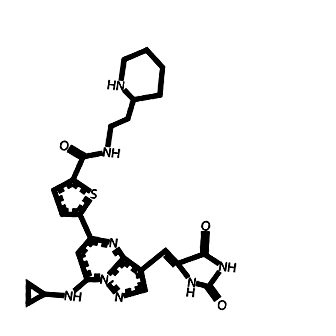 O=C1NC(=O)/C(=C/c2cnn3c(NC4CC4)cc(-c4ccc(C(=O)NCCC5CCCCN5)s4)nc23)N1